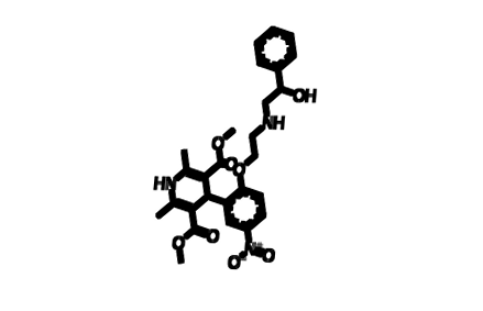 COC(=O)C1=C(C)NC(C)=C(C(=O)OC)C1c1cc([N+](=O)[O-])ccc1OCCNCC(O)c1ccccc1